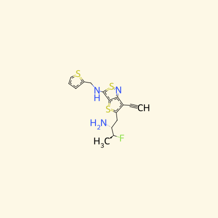 C#Cc1c(C[C@@H](N)[C@H](C)F)sc2c(NCc3cccs3)snc12